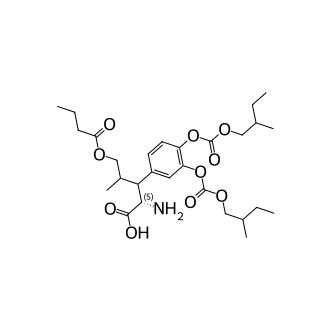 CCCC(=O)OCC(C)C(c1ccc(OC(=O)OCC(C)CC)c(OC(=O)OCC(C)CC)c1)[C@H](N)C(=O)O